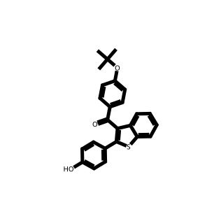 CC(C)(C)Oc1ccc(C(=O)c2c(-c3ccc(O)cc3)sc3ccccc23)cc1